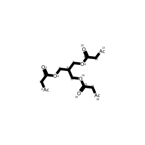 CC(=O)CC(=O)OCC(COC(=O)CC(C)=O)COC(=O)CC(C)=O